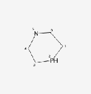 C1CPCC[N]1